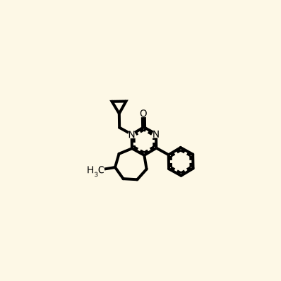 CC1CCCc2c(-c3ccccc3)nc(=O)n(CC3CC3)c2C1